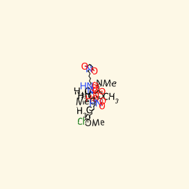 CNC(=O)CC(OC(=O)[C@H](C)N(C)C(=O)NCCCCCCN1C(=O)C=CC1=O)C1(C)OC1C(C)C1CC(O)(C(/C=C/C=C(\C)Cc2ccc(Cl)c(OC)c2)OC)NC(=O)O1